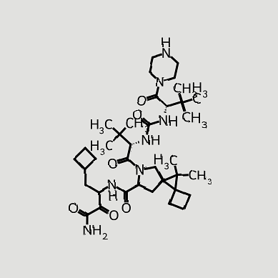 CC(C)(C)[C@H](NC(=O)N[C@H](C(=O)N1CC2(CC1C(=O)NC(CC1CCC1)C(=O)C(N)=O)C(C)(C)C21CCC1)C(C)(C)C)C(=O)N1CCNCC1